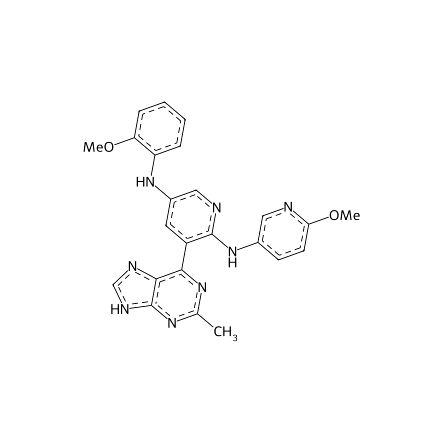 COc1ccc(Nc2ncc(Nc3ccccc3OC)cc2-c2nc(C)nc3[nH]cnc23)cn1